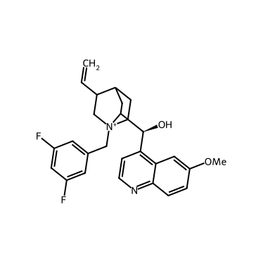 C=CC1C[N+]2(Cc3cc(F)cc(F)c3)CCC1CC2[C@@H](O)c1ccnc2ccc(OC)cc12